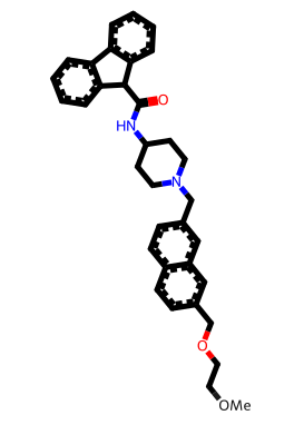 COCCOCc1ccc2ccc(CN3CCC(NC(=O)C4c5ccccc5-c5ccccc54)CC3)cc2c1